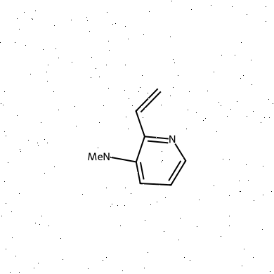 C=Cc1ncccc1NC